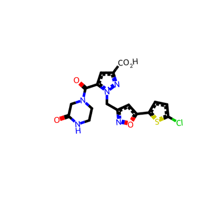 O=C1CN(C(=O)c2cc(C(=O)O)nn2Cc2cc(-c3ccc(Cl)s3)on2)CCN1